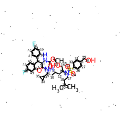 COC(=O)N[C@H](C(=O)N[C@H](CCC[C@@H](CO)N(CCC(C)C)S(=O)(=O)c1ccc(CO)cc1)C1CC1)C(c1ccc(F)cc1)c1ccc(F)cc1